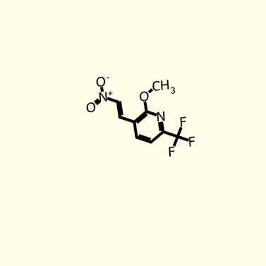 COc1nc(C(F)(F)F)ccc1/C=C/[N+](=O)[O-]